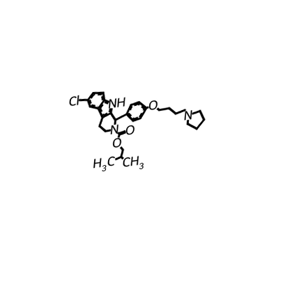 CC(C)COC(=O)N1CCc2c([nH]c3ccc(Cl)cc23)C1c1ccc(OCCCCN2CCCC2)cc1